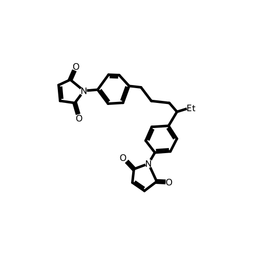 CCC(CCCc1ccc(N2C(=O)C=CC2=O)cc1)c1ccc(N2C(=O)C=CC2=O)cc1